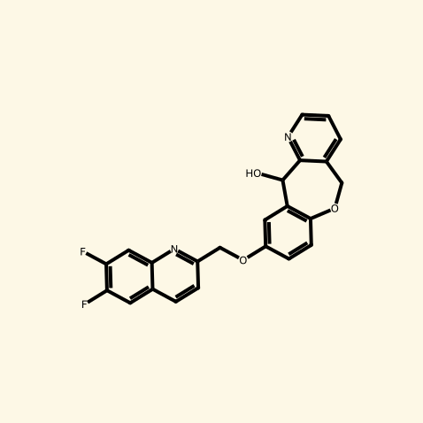 OC1c2cc(OCc3ccc4cc(F)c(F)cc4n3)ccc2OCc2cccnc21